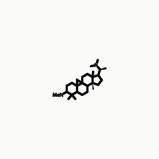 CNC1CCC23CC24CCC2(C)C([C@H](C)N(C)C)CC[C@@]2(C)C4CCC3C1(C)C